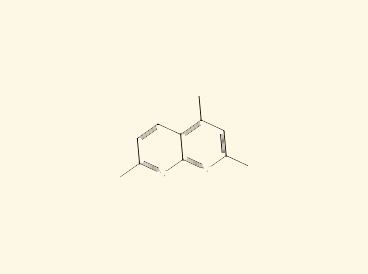 Cc1ccc2c(C)cc(C)nc2n1